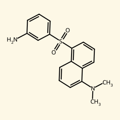 CN(C)c1cccc2c(S(=O)(=O)c3cccc(N)c3)cccc12